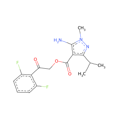 CC(C)c1nn(C)c(N)c1C(=O)OCC(=O)c1c(F)cccc1F